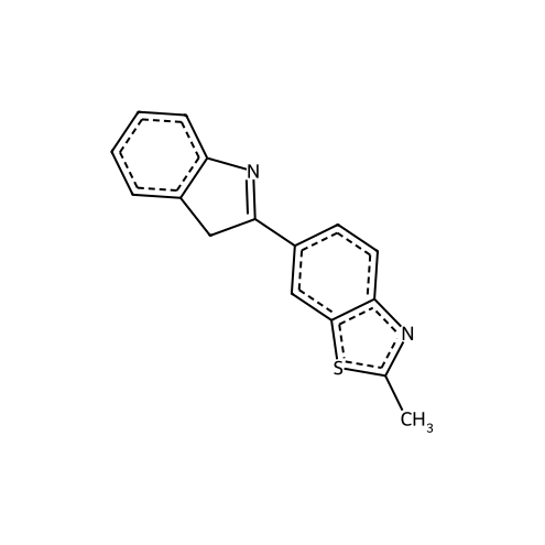 Cc1nc2ccc(C3=Nc4ccccc4C3)cc2s1